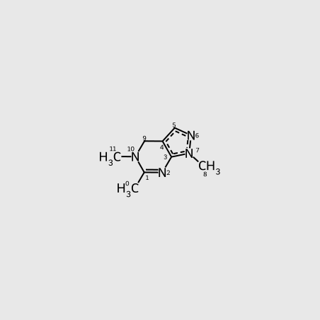 CC1=Nc2c(cnn2C)CN1C